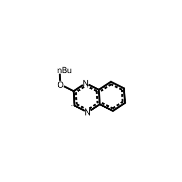 CCCCOc1[c]nc2ccccc2n1